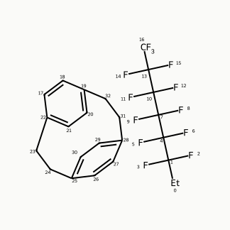 CCC(F)(F)C(F)(F)C(F)(F)C(F)(F)C(F)(F)C(F)(F)F.c1cc2ccc1CCc1ccc(cc1)CC2